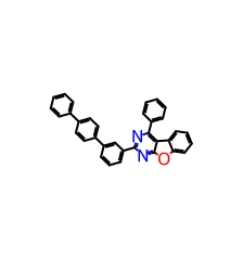 c1ccc(-c2ccc(-c3cccc(-c4nc(-c5ccccc5)c5c(n4)oc4ccccc45)c3)cc2)cc1